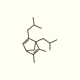 CC1=C(C)C2(CC(C)C)CC1C=C2CC(C)C